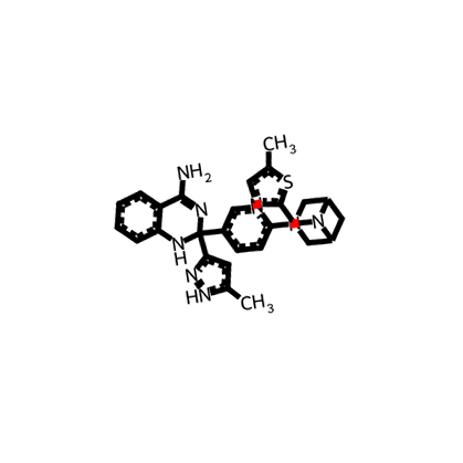 Cc1cc(C2(c3ccc(N4CC5CC(C4)N5Cc4ncc(C)s4)nc3)N=C(N)c3ccccc3N2)n[nH]1